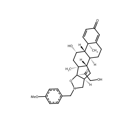 COc1ccc(CN2C[C@@H]3C[C@H]4[C@@H]5CCC6=CC(=O)C=C[C@]6(C)[C@H]5[C@@H](O)C[C@]4(C)[C@]3(C(=O)CO)O2)cc1